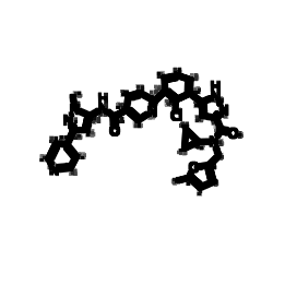 Cc1ccc(CN(C(=O)c2cc(-c3cccc(-c4ccc(C(=O)Nc5cc(-c6ccncc6)nn5C)cn4)c3Cl)[nH]n2)C2CC2)o1